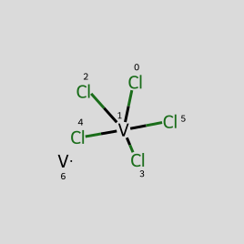 [Cl][V]([Cl])([Cl])([Cl])[Cl].[V]